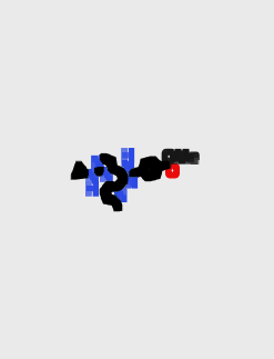 COC(=O)C12CCC(c3nc(-c4cccc(C)n4)c(-c4ccnc(NC5CC5)n4)[nH]3)(CC1)CC2